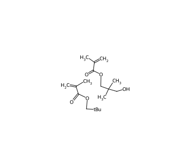 C=C(C)C(=O)OCC(C)(C)C.C=C(C)C(=O)OCC(C)(C)CO